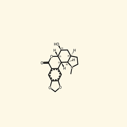 CN1CC[C@@H]2C[C@H](O)[C@H]3OC(=O)c4cc5c(cc4[C@H]3[C@@H]21)OCO5